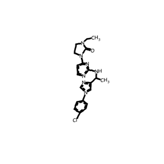 CCN1CCN(c2ccnc(NC(C)c3cn(-c4ccc(Cl)cc4)cn3)n2)C1=O